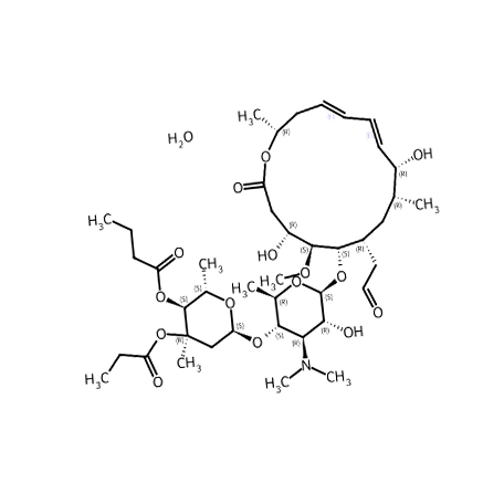 CCCC(=O)O[C@H]1[C@H](C)O[C@@H](O[C@H]2[C@H](N(C)C)[C@@H](O)[C@H](O[C@H]3[C@@H](CC=O)C[C@@H](C)[C@@H](O)/C=C/C=C/C[C@@H](C)OC(=O)C[C@@H](O)[C@@H]3OC)O[C@@H]2C)C[C@@]1(C)OC(=O)CC.O